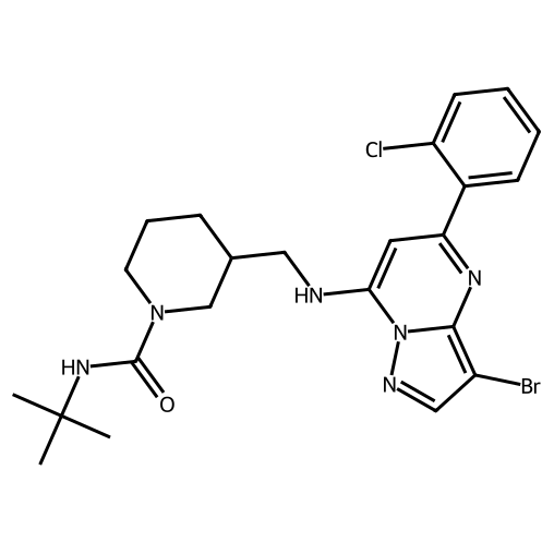 CC(C)(C)NC(=O)N1CCCC(CNc2cc(-c3ccccc3Cl)nc3c(Br)cnn23)C1